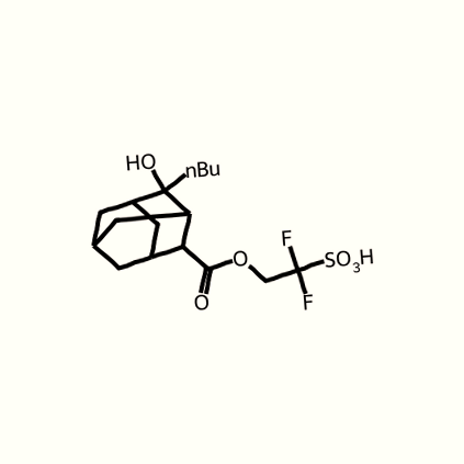 CCCCC1(O)C2CC3CC(C2)C(C(=O)OCC(F)(F)S(=O)(=O)O)C1C3